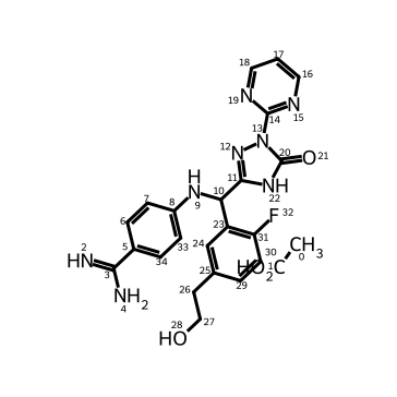 CC(=O)O.N=C(N)c1ccc(NC(c2nn(-c3ncccn3)c(=O)[nH]2)c2cc(CCO)ccc2F)cc1